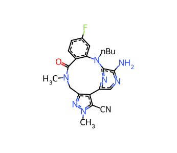 CCCCN1c2cc(F)ccc2C(=O)N(C)Cc2nn(C)c(C#N)c2-c2cnc(N)c1n2